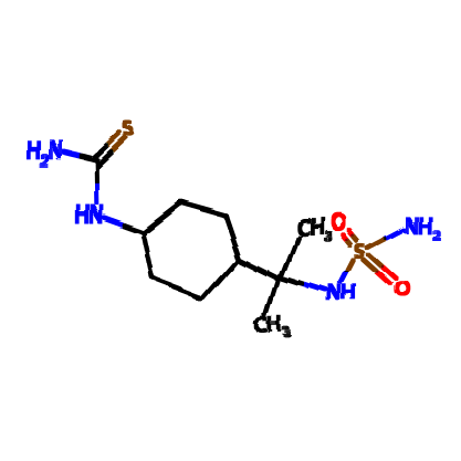 CC(C)(NS(N)(=O)=O)C1CCC(NC(N)=S)CC1